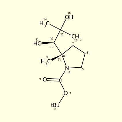 CC(C)(C)OC(=O)N1CCC[C@@]1(C)[C@@H](O)C(C)(C)O